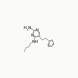 CCCCNc1nc(N)ncc1CCc1cccs1